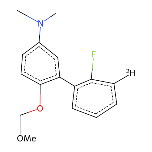 [2H]c1cccc(-c2cc(N(C)C)ccc2OCOC)c1F